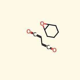 C1CCC2OC2C1.O=C=CC=C=O